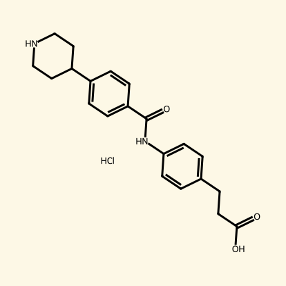 Cl.O=C(O)CCc1ccc(NC(=O)c2ccc(C3CCNCC3)cc2)cc1